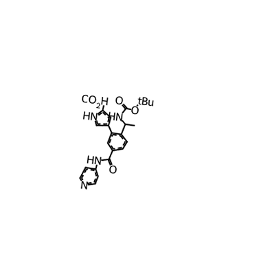 CC(NC(=O)OC(C)(C)C)c1ccc(C(=O)Nc2ccncc2)cc1-c1c[nH]c(C(=O)O)c1